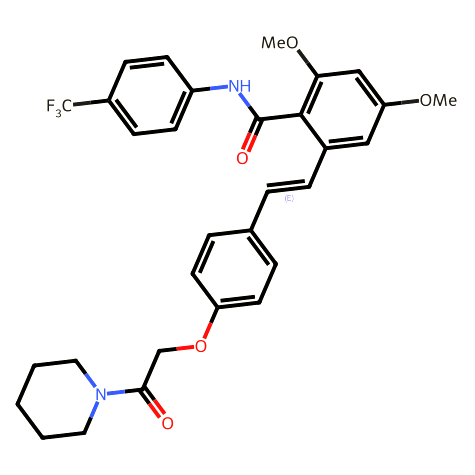 COc1cc(/C=C/c2ccc(OCC(=O)N3CCCCC3)cc2)c(C(=O)Nc2ccc(C(F)(F)F)cc2)c(OC)c1